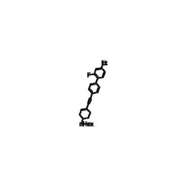 CCCCCCC1CC=C(C#Cc2ccc(-c3ccc(CC)cc3F)cc2)CC1